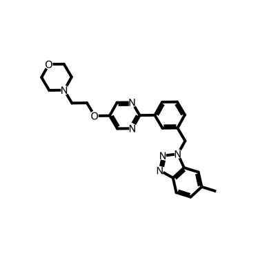 Cc1ccc2nnn(Cc3cccc(-c4ncc(OCCN5CCOCC5)cn4)c3)c2c1